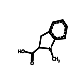 CN1c2ccccc2CC1C(=O)O